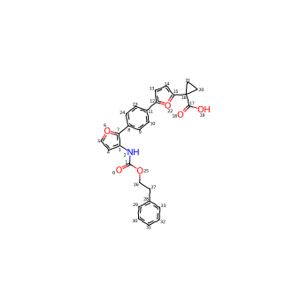 O=C(Nc1ccoc1-c1ccc(-c2ccc(C3(C(=O)O)CC3)o2)cc1)OCCc1ccccc1